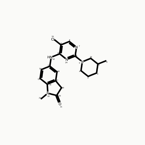 CC1CCCN(c2ncc(Cl)c(Nc3ccc4c(c3)CC(=O)N4C)n2)C1